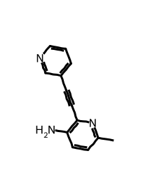 Cc1ccc(N)c(C#Cc2cccnc2)n1